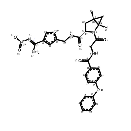 C[C@@]12C[C@@H]1N(C(=O)CNC(=O)c1ccc(Oc3ccccc3)cc1)[C@H](C(=O)NCc1cc(/C(N)=N/[N+](=O)[O-])cs1)C2